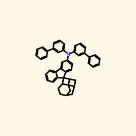 c1ccc(-c2cccc(N(c3cccc(-c4ccccc4)c3)c3ccc4c(c3)-c3ccccc3C43C4CCC5CC6CC3C64C5)c2)cc1